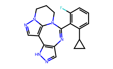 Fc1cccc(C2CC2)c1C1=Nc2cn[nH]c2-c2cnn3c2N1CCC3